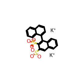 O=S(=O)([O-])c1cc2ccccc2c(-c2cccc3ccccc23)c1S(=O)(=O)[O-].[K+].[K+]